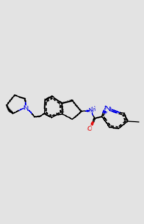 Cc1ccc(C(=O)N[C@@H]2Cc3ccc(CN4CCCC4)cc3C2)nc1